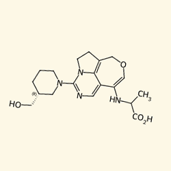 CC(NC1=COCC2=C3C1=CN=C(N1CCC[C@@H](CO)C1)N3CC2)C(=O)O